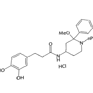 CCCN1CCC(NC(=O)CCc2ccc(O)c(O)c2)CC1(OC)c1ccccc1.Cl